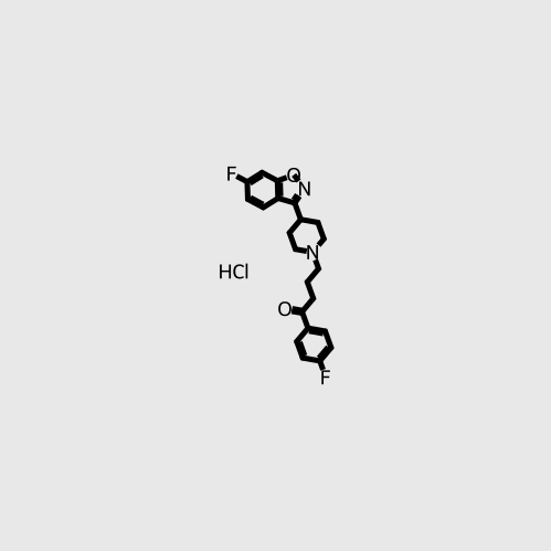 Cl.O=C(CCCN1CCC(c2noc3cc(F)ccc23)CC1)c1ccc(F)cc1